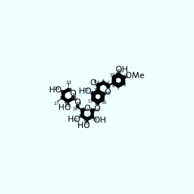 COc1ccc([C@@H]2CC(=O)c3c(O)cc(O[C@@H]4O[C@H](CO[C@@H]5O[C@@H](C)[C@H](O)[C@@H](C)[C@H]5O)[C@@H](O)[C@H](O)[C@H]4O)cc3O2)cc1O